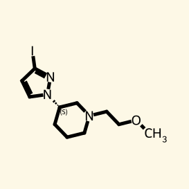 COCCN1CCC[C@H](n2ccc(I)n2)C1